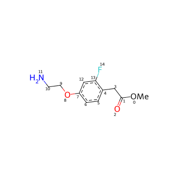 COC(=O)Cc1ccc(OCCN)cc1F